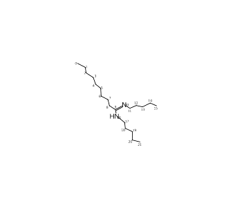 CCCCCCCCCC(=NCCCCC)NCCCCC